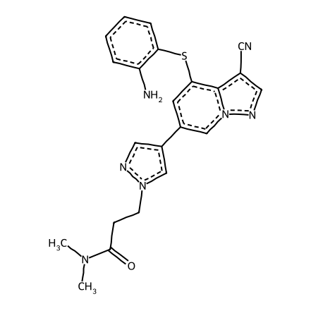 CN(C)C(=O)CCn1cc(-c2cc(Sc3ccccc3N)c3c(C#N)cnn3c2)cn1